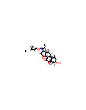 CC(C)=CCO/N=C(/C)C1CC[C@@]2(O)C3=CC(=O)C4(C)CC(O)CCC4(C)C3CCC12C